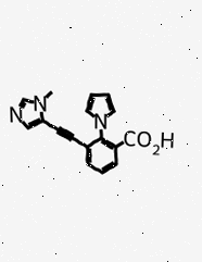 Cn1cncc1C#Cc1cccc(C(=O)O)c1-n1cccc1